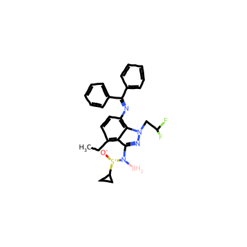 BN(c1nn(CC(F)F)c2c(N=C(c3ccccc3)c3ccccc3)ccc(CC)c12)[S+]([O-])C1CC1